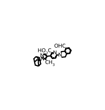 Cc1c(-c2ccc(N3CCc4cccc(C=O)c4C3)nc2C(=O)O)cnn1C12CC3CC(CC(C3)C1)C2